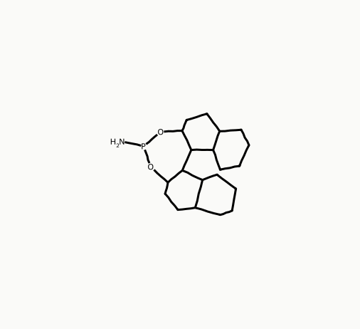 NP1OC2CCC3CCCCC3C2C2C(CCC3CCCCC32)O1